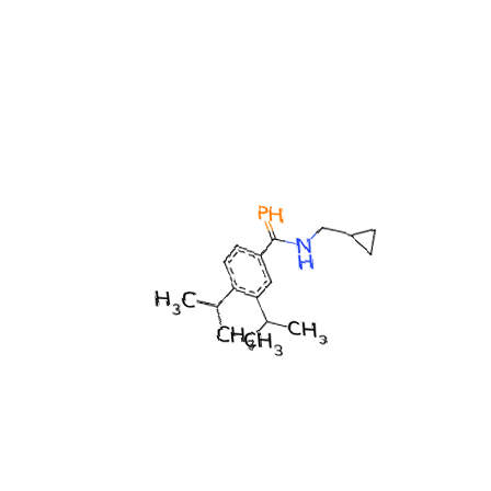 CC(C)c1ccc(C(=P)NCC2CC2)cc1C(C)C